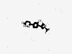 O=C1CCC(c2ccc(-c3cnn(C(F)F)c3)c(C(F)(F)F)c2)=NN1